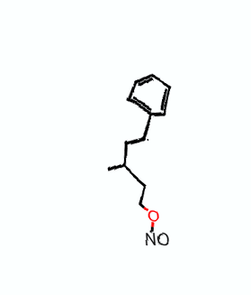 CC(C[CH]c1ccccc1)CCON=O